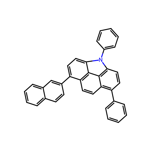 c1ccc(-c2ccc3c4c2ccc2c(-c5ccc6ccccc6c5)ccc(c24)n3-c2ccccc2)cc1